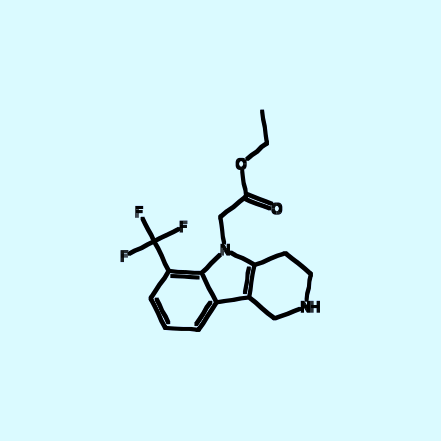 CCOC(=O)Cn1c2c(c3cccc(C(F)(F)F)c31)CNCC2